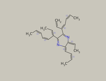 C=C/C(=C\C=C/C)c1nc(=C/C)/c(=C\C=C/C)nc1C(/C=C\C=C/C)=C/C